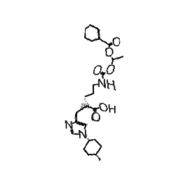 CC(OC(=O)NCCC[C@@H](Cc1cn([C@H]2CC[C@H](C)CC2)cn1)C(=O)O)OC(=O)C1CCCCC1